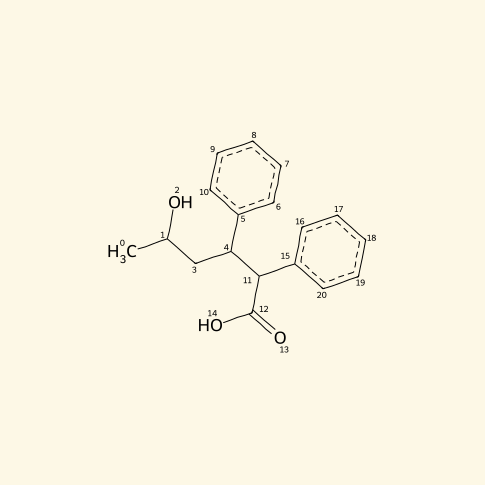 CC(O)CC(c1ccccc1)C(C(=O)O)c1ccccc1